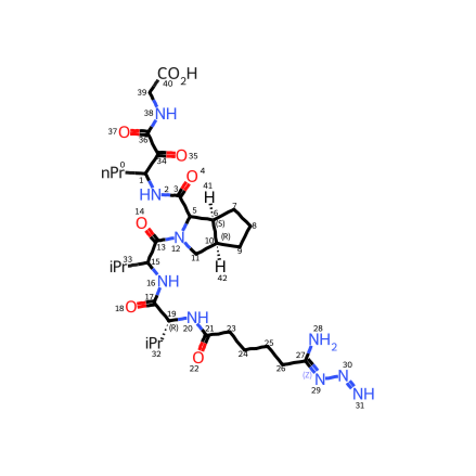 CCCC(NC(=O)C1[C@H]2CCC[C@H]2CN1C(=O)C(NC(=O)[C@H](NC(=O)CCCC/C(N)=N/N=N)C(C)C)C(C)C)C(=O)C(=O)NCC(=O)O